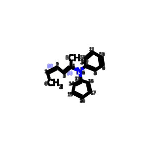 C/C=C\C=C(/C)N(c1cc#ccc1)c1ccccc1